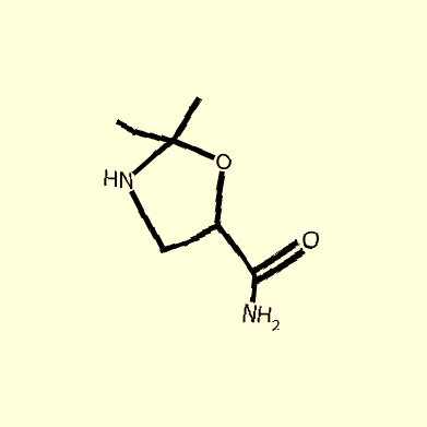 CC1(C)NCC(C(N)=O)O1